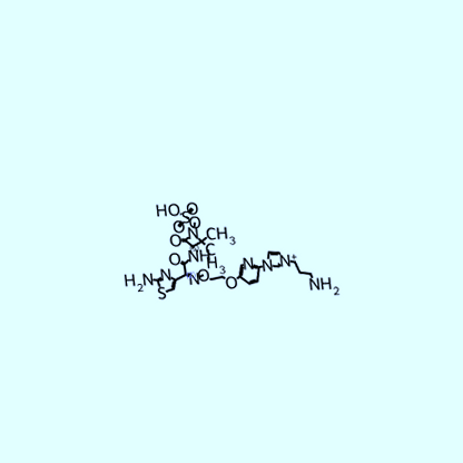 CC1(C)[C@H](NC(=O)/C(=N\OCCOc2ccc(-n3cc[n+](CCCN)c3)nc2)c2csc(N)n2)C(=O)N1OS(=O)(=O)O